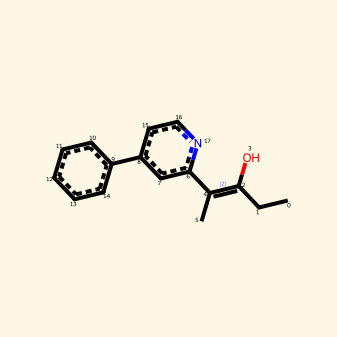 CC/C(O)=C(\C)c1cc(-c2ccccc2)ccn1